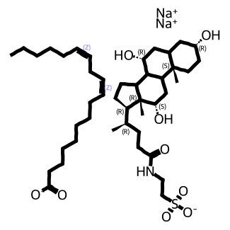 CCCCC/C=C\C/C=C\CCCCCCCC(=O)[O-].C[C@H](CCC(=O)NCCS(=O)(=O)[O-])[C@H]1CCC2C3C(C[C@H](O)[C@@]21C)[C@@]1(C)CC[C@@H](O)CC1C[C@H]3O.[Na+].[Na+]